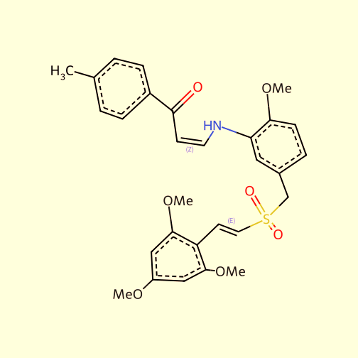 COc1cc(OC)c(/C=C/S(=O)(=O)Cc2ccc(OC)c(N/C=C\C(=O)c3ccc(C)cc3)c2)c(OC)c1